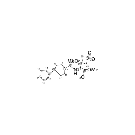 COC(=O)C(NC(=O)N1CCC(c2ccccc2)CC1)C1(OC)CS(=O)(=O)C1